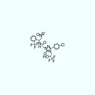 O=C(Cn1nc(-c2ccc(Cl)cc2)n(CC(O)C(F)(F)F)c1=O)NC(C[N+](=O)[O-])c1ccccc1C(F)(F)F